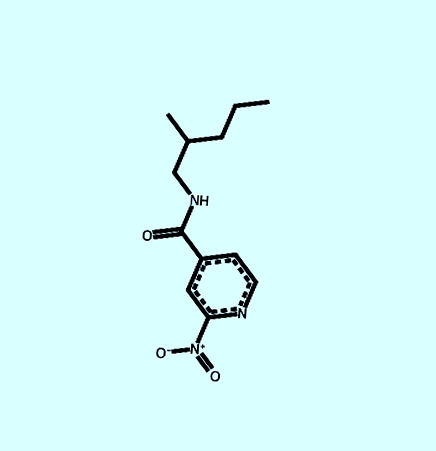 CCCC(C)CNC(=O)c1ccnc([N+](=O)[O-])c1